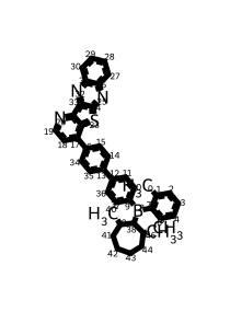 Cc1cccc(C)c1B(c1ccc(-c2ccc(-c3ccnc4c3sc3nc5ccccc5nc34)cc2)cc1)C1C(C)CCCCC1C